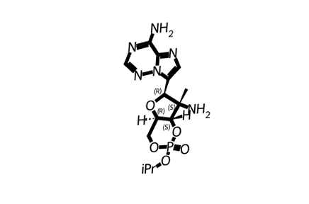 CC(C)OP1(=O)OC[C@H]2O[C@@H](c3cnc4c(N)ncnn34)[C@](C)(N)[C@@H]2O1